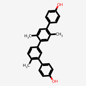 Cc1ccc(-c2cc(C)c(-c3ccc(O)cc3)cc2C)cc1-c1ccc(O)cc1